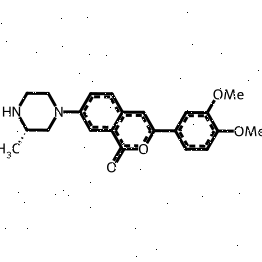 COc1ccc(-c2cc3ccc(N4CCN[C@@H](C)C4)cc3c(=O)o2)cc1OC